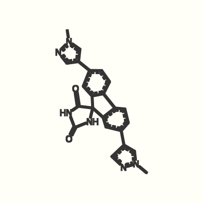 Cn1cc(-c2ccc3c(c2)C2(NC(=O)NC2=O)c2cc(-c4cnn(C)c4)ccc2-3)cn1